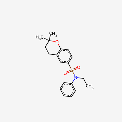 CCN(c1ccccc1)S(=O)(=O)c1ccc2c(c1)CCC(C)(C)O2